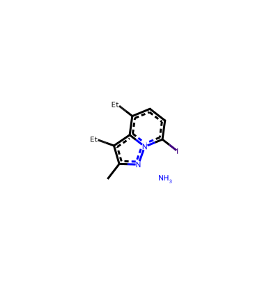 CCc1ccc(I)n2nc(C)c(CC)c12.N